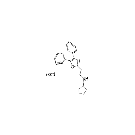 Cl.c1ccc(-c2nc(CCNC3CCCC3)oc2-c2ccccc2)cc1